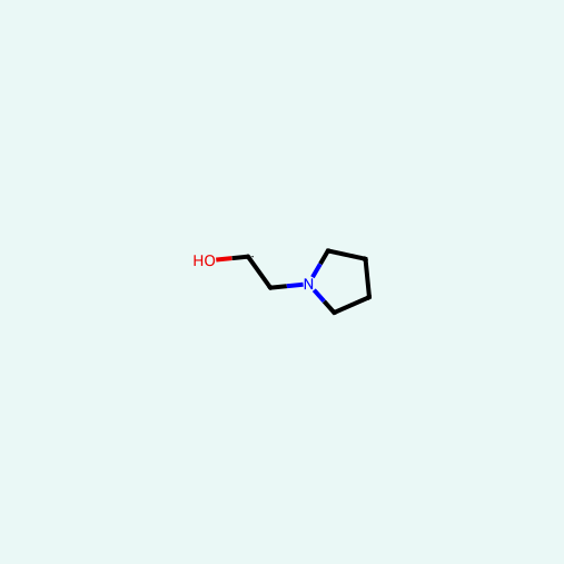 O[CH]CN1CCCC1